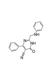 N#Cc1c(-c2ccccc2)nc(CNc2ccccc2)[nH]c1=O